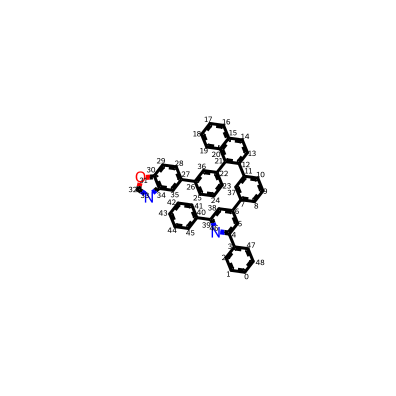 c1ccc(-c2cc(-c3cccc(-c4ccc5ccccc5c4-c4cccc(-c5ccc6ocnc6c5)c4)c3)cc(-c3ccccc3)n2)cc1